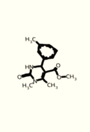 COC(=O)C1=C(C)N(C)C(=O)NC1c1cccc(C)c1